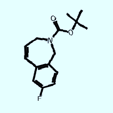 CC(C)(C)OC(=O)N1CC=Cc2cc(F)ccc2C1